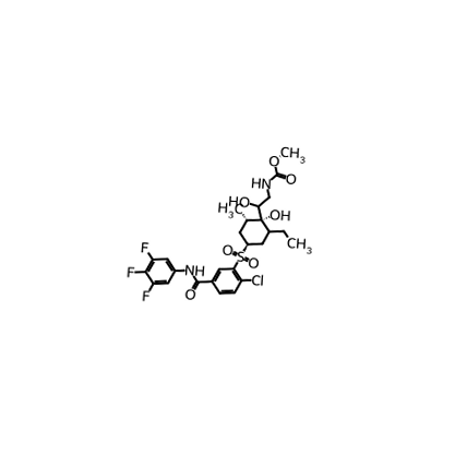 CCC1C[C@@H](S(=O)(=O)c2cc(C(=O)Nc3cc(F)c(F)c(F)c3)ccc2Cl)C[C@H](C)[C@@]1(O)C(O)CNC(=O)OC